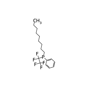 CCCCCCCCCP(c1ccccc1)C(F)(F)C(F)(F)F